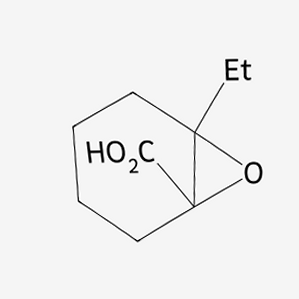 CCC12CCCCC1(C(=O)O)O2